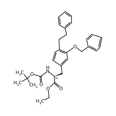 CCOC(=O)[C@H](Cc1ccc(CCc2ccccc2)c(OCc2ccccc2)c1)NC(=O)OC(C)(C)C